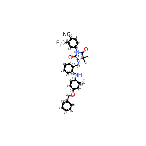 CC1(C)C(=O)N(c2ccc(C#N)c(C(F)(F)F)c2)C(=O)N1Cc1ccccc1Nc1ccc(OCc2ccccc2)cc1F